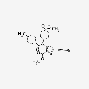 COC(=O)c1sc(C#CBr)cc1N(C(=O)C1CCC(C)CC1)C1CCC(O)(OC)CC1